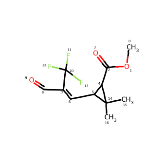 COC(=O)C1C(C=C(C=O)C(F)(F)F)C1(C)C